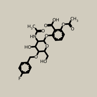 CC(=O)NC1C(Oc2cccc(OC(C)=O)c2C(=O)O)OC(CO)C(OCc2ccc(F)cc2)C1O